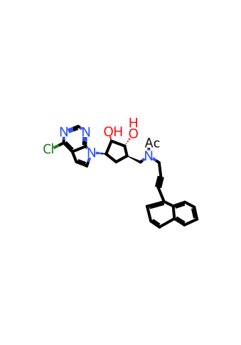 CC(=O)N(CC#Cc1cccc2ccccc12)C[C@H]1C[C@@H](n2ccc3c(Cl)ncnc32)[C@H](O)[C@@H]1O